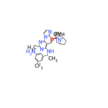 COC1(c2cc3c(N[C@H](C)c4cc(N)cc(C(F)(F)F)c4)nc(C)nc3n3ccnc23)CC2CCC(C1)N2C(=O)C(C)C